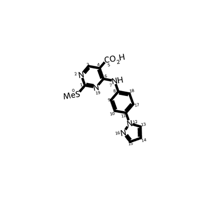 CSc1ncc(C(=O)O)c(Nc2ccc(-n3cccn3)cc2)n1